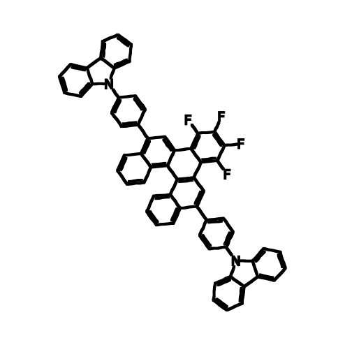 Fc1c(F)c(F)c2c3cc(-c4ccc(-n5c6ccccc6c6ccccc65)cc4)c4ccccc4c3c3c4ccccc4c(-c4ccc(-n5c6ccccc6c6ccccc65)cc4)cc3c2c1F